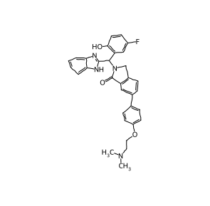 CN(C)CCOc1ccc(-c2ccc3c(c2)C(=O)N(C(c2nc4ccccc4[nH]2)c2cc(F)ccc2O)C3)cc1